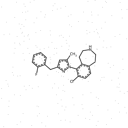 Cc1cc(Cc2ccccc2F)nn1-c1c(Cl)ccc2c1CCNCC2